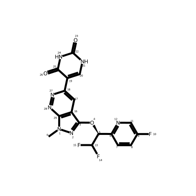 Cn1nc(O[C@@H](c2ccc(F)cn2)C(F)F)c2cc(-c3c[nH]c(=O)[nH]c3=O)nnc21